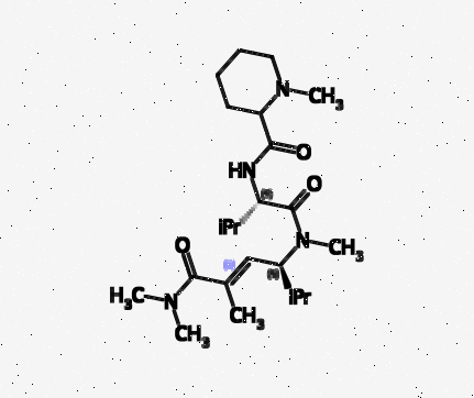 C/C(=C\[C@H](C(C)C)N(C)C(=O)[C@@H](NC(=O)C1CCCCN1C)C(C)C)C(=O)N(C)C